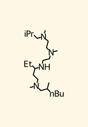 CCCCC(C)CN(C)CCC(CC)NCCN(C)CCN(C)CC(C)C